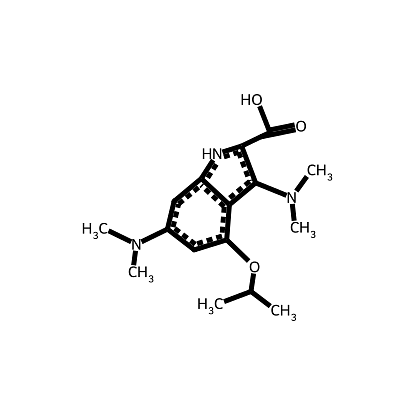 CC(C)Oc1cc(N(C)C)cc2[nH]c(C(=O)O)c(N(C)C)c12